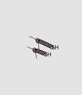 CCCCCCCCCCCCCCCCOCC(COCCOCCOCCOCCOCCOCCOCCOCCOCCS)OCCCCCCCCCCCCCCCC.CCCCCCCCCCCCCCOCC(COCCOCCOCCOCCOCCOCCS)OCCCCCCCCCCCCCC